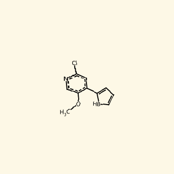 COc1cnc(Cl)cc1C1=CC=CB1